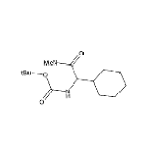 CNC(=O)C(NC(=O)OC(C)(C)C)C1CCCCC1